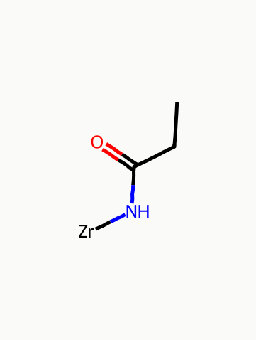 CCC(=O)[NH][Zr]